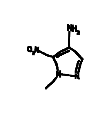 Cn1ncc(N)c1[N+](=O)[O-]